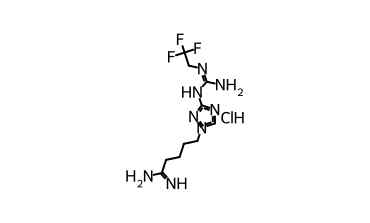 Cl.N=C(N)CCCCn1cnc(N/C(N)=N\CC(F)(F)F)n1